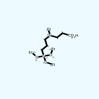 CCO[Si](CCCN(CC)CCC(=O)O)(OCC)OCC